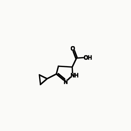 O=C(O)C1CC(C2CC2)=NN1